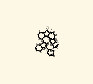 Cn1c2cccc3c2c2c1ccc1c4occc4n(c12)c1c3c2ccccc2n1-c1ccccc1